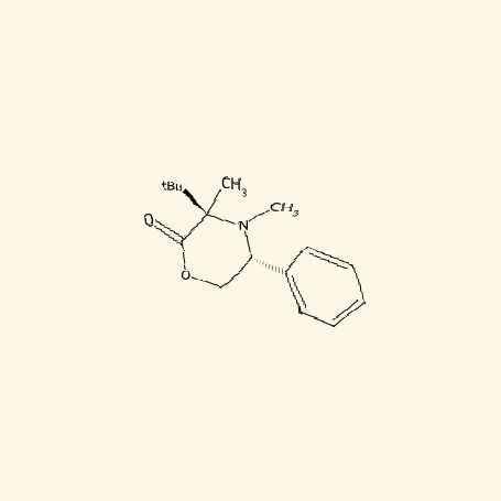 CN1[C@H](c2ccccc2)COC(=O)[C@@]1(C)C(C)(C)C